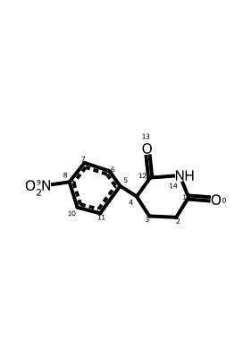 O=C1CCC(c2ccc([N+](=O)[O-])cc2)C(=O)N1